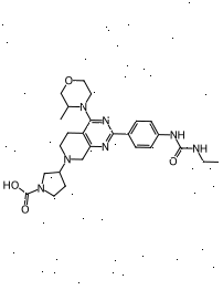 CCNC(=O)Nc1ccc(-c2nc3c(c(N4CCOCC4C)n2)CCN(C2CCN(C(=O)O)C2)C3)cc1